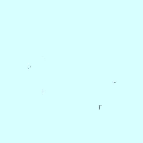 CC(C)C(=O)c1ccc(C(F)F)cc1F